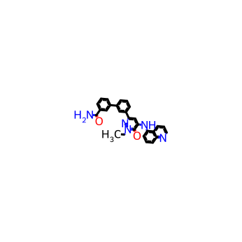 CCn1nc(-c2cccc(-c3cccc(C(N)=O)c3)c2)cc(Nc2cccc3ncccc23)c1=O